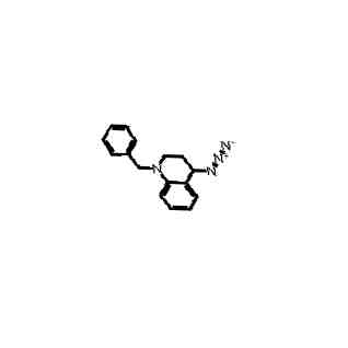 [N-]=[N+]=NC1CCN(Cc2ccccc2)c2ccccc21